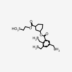 BCc1cc(CB)c(CB)c(C(=O)OC2CCCC(C(=O)OCCS(=O)(=O)O)C2)c1